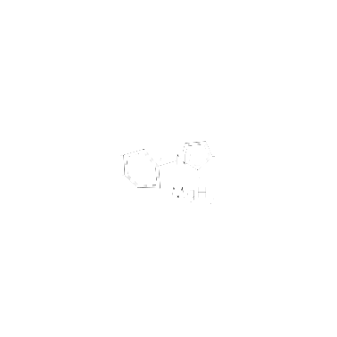 [MgH2].c1ccc(-n2cccc2)cc1